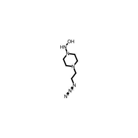 [N-]=[N+]=NCCN1CCN(NO)CC1